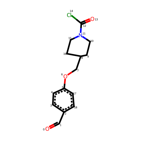 O=Cc1ccc(OCC2CCN(C(=O)Cl)CC2)cc1